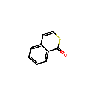 O=c1sccc2ccccc12